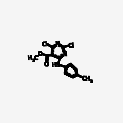 COC(=O)c1c(Cl)nc(Cl)nc1Nc1ccc(C)cc1